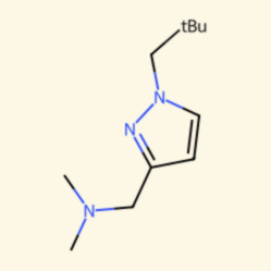 CN(C)Cc1ccn(CC(C)(C)C)n1